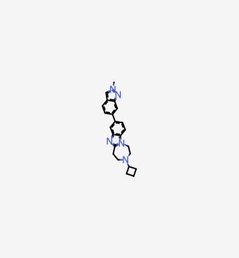 Cn1cc2ccc(-c3ccc4c(c3)nc3n4CCN(C4CCC4)CC3)cc2n1